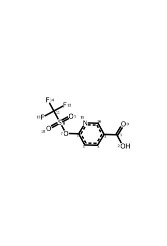 O=C(O)c1ccc(OS(=O)(=O)C(F)(F)F)nc1